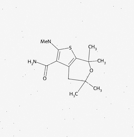 CNc1sc2c(c1C(N)=O)CC(C)(C)OC2(C)C